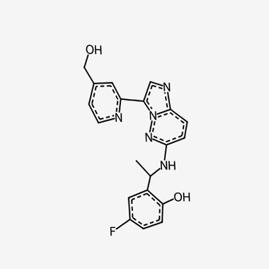 CC(Nc1ccc2ncc(-c3cc(CO)ccn3)n2n1)c1cc(F)ccc1O